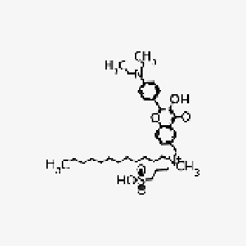 CCCCCCCCCCCC[N+](C)(CCCS(=O)(=O)O)Cc1ccc2oc(-c3ccc(N(CC)CC)cc3)c(O)c(=O)c2c1